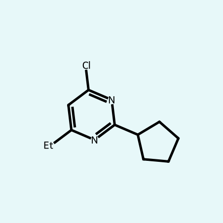 CCc1cc(Cl)nc(C2CCCC2)n1